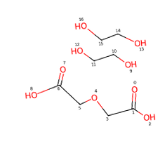 O=C(O)COCC(=O)O.OCCO.OCCO